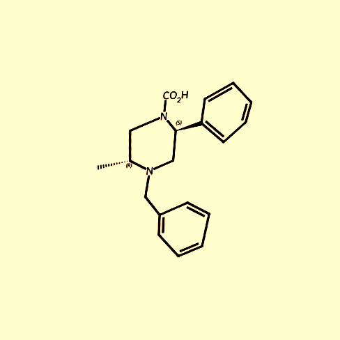 C[C@@H]1CN(C(=O)O)[C@@H](c2ccccc2)CN1Cc1ccccc1